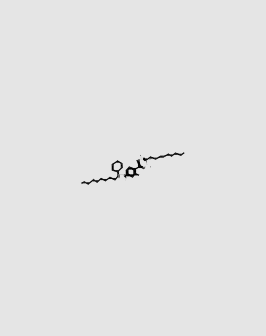 CCCCCCCCCc1ncc(-c2ccc(OC(CCCCCCCCC)C3CCCCC3)cc2C)cn1